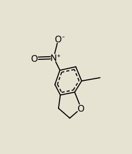 Cc1cc([N+](=O)[O-])cc2c1OCC2